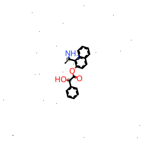 C[C@@H](N)c1c(OC(=O)[C@H](O)c2ccccc2)ccc2ccccc12